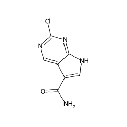 NC(=O)c1c[nH]c2nc(Cl)ncc12